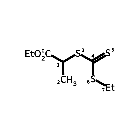 CCOC(=O)C(C)SC(=S)SCC